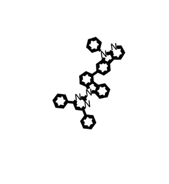 c1ccc(-c2cc(-c3ccccc3)nc(-n3c4ccccc4c4c(-c5ccc6c7cccnc7n(-c7ccccc7)c6c5)cccc43)n2)cc1